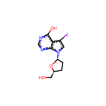 OC[C@@H]1CC[C@H](n2cc(I)c3c(O)ncnc32)O1